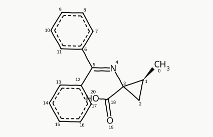 C[C@H]1CC1(N=C(c1ccccc1)c1ccccc1)C(=O)O